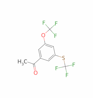 CC(=O)c1cc(OC(F)(F)F)cc(SC(F)(F)F)c1